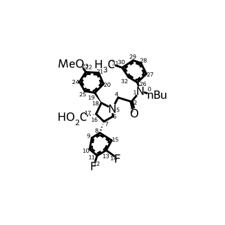 CCCCN(C(=O)CN1C[C@H](c2ccc(F)c(F)c2)[C@H](C(=O)O)[C@H]1c1ccc(OC)cc1)c1cccc(C)c1